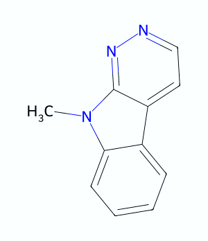 Cn1c2ccccc2c2ccnnc21